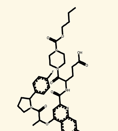 CCCCOC(=O)N1CCN(C(=O)C(CCC(=O)O)NC(=O)c2cc(OC(C)C(=O)N3CCCC3c3ccc(F)cc3)c3ccc(C)cc3n2)CC1